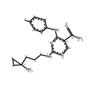 Cc1ccc(Nc2nc(NCCCC3(N)CC3)ncc2C(N)=O)cc1